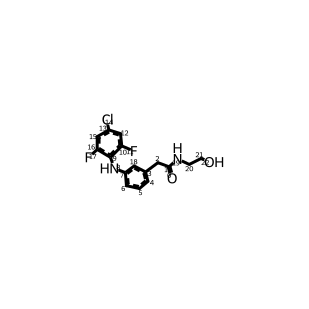 O=C(Cc1cccc(Nc2c(F)cc(Cl)cc2F)c1)NCCO